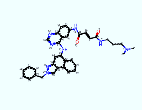 CN(C)CCCNC(=O)C=CC(=O)Nc1ccc2ncnc(Nc3cc4nn(Cc5ccccc5)cc4c4ccccc34)c2c1